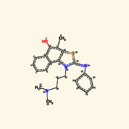 Cc1c(O)c2ccccc2c2c1sc(=Nc1ccccc1)n2CCCN(C)C